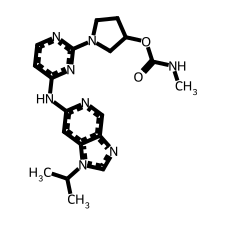 CNC(=O)OC1CCN(c2nccc(Nc3cc4c(cn3)ncn4C(C)C)n2)C1